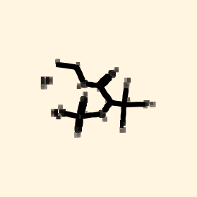 CCOC(=O)C(OS(N)(=O)=O)C(F)(F)F.[LiH]